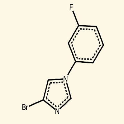 Fc1cccc(-n2cnc(Br)c2)c1